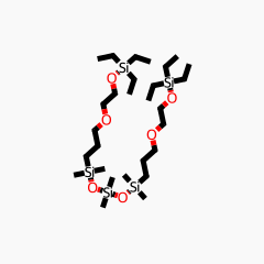 CC[Si](CC)(CC)OCCOCCC[Si](C)(C)O[Si](C)(C)O[Si](C)(C)CCCOCCO[Si](CC)(CC)CC